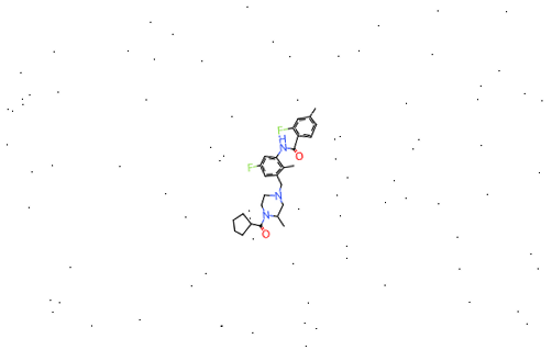 Cc1ccc(C(=O)Nc2cc(F)cc(CN3CCN(C(=O)C4CCCC4)C(C)C3)c2C)c(F)c1